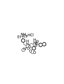 CCC(N)(CC)c1ccc(CC(NC(=O)CC(NS(=O)(=O)c2ccc3ccccc3c2)c2ccc3c(c2)OCCO3)C(=O)N2CCCC2)cc1.Cl